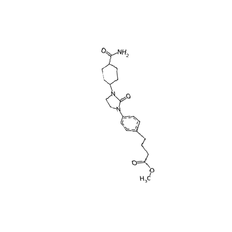 COC(=O)CCCc1ccc(N2CCN(C3CCC(C(N)=O)CC3)C2=O)cc1